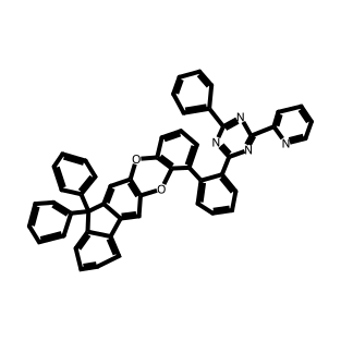 c1ccc(-c2nc(-c3ccccn3)nc(-c3ccccc3-c3cccc4c3Oc3cc5c(cc3O4)C(c3ccccc3)(c3ccccc3)c3ccccc3-5)n2)cc1